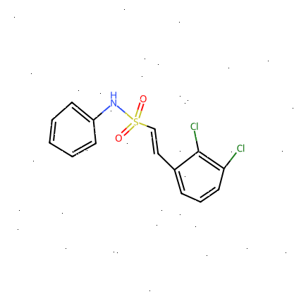 O=S(=O)(C=Cc1cccc(Cl)c1Cl)Nc1ccccc1